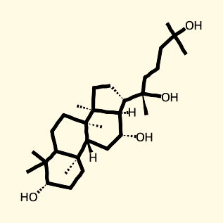 CC(C)(O)CCC[C@](C)(O)[C@H]1CC[C@@]2(C)[C@@H]1[C@H](O)C[C@@H]1[C@@]3(C)CC[C@H](O)C(C)(C)C3CC[C@]12C